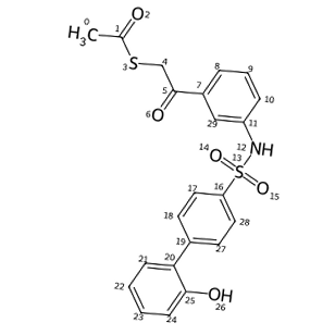 CC(=O)SCC(=O)c1cccc(NS(=O)(=O)c2ccc(-c3ccccc3O)cc2)c1